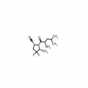 CC(C)C[C@@H](N)C(=O)N1[C@H](C#N)CC(F)(F)[C@@H]1C